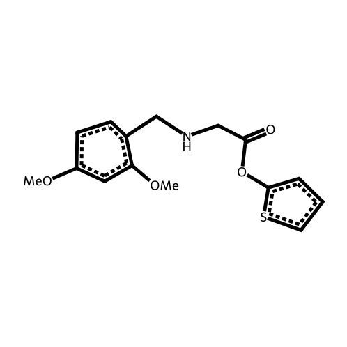 COc1ccc(CNCC(=O)Oc2cccs2)c(OC)c1